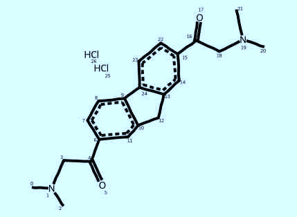 CN(C)CC(=O)c1ccc2c(c1)Cc1cc(C(=O)CN(C)C)ccc1-2.Cl.Cl